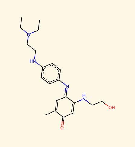 CCN(CC)CCNc1ccc(/N=C2\C=C(C)C(=O)C=C2NCCO)cc1